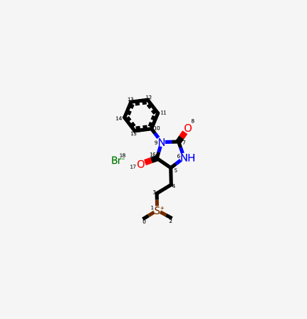 C[S+](C)CCC1NC(=O)N(c2ccccc2)C1=O.[Br-]